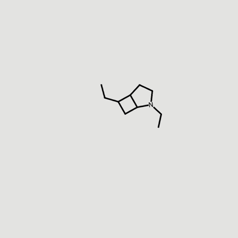 CCC1CC2C1CCN2CC